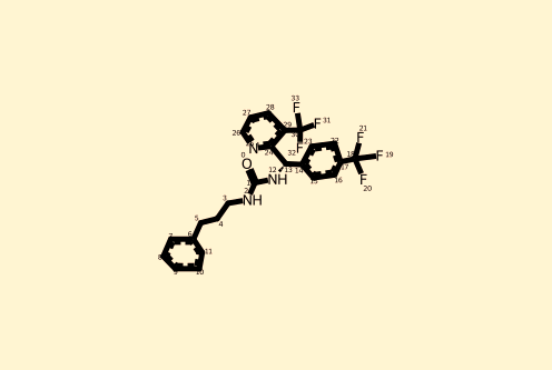 O=C(NCCCc1ccccc1)N[C@@H](c1ccc(C(F)(F)F)cc1)c1ncccc1C(F)(F)F